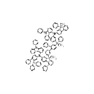 CC1(c2ccccc2)c2ccccc2-c2ccc(N(c3ccc4c(c3)C(C)(c3ccccc3)c3ccc(-c5cccc(C6(C)c7cc(N(c8ccc9c(c8)C(c8ccccc8)(c8ccccc8)c8ccccc8-9)c8cccc9c8c8ccccc8n9-c8ccccc8)ccc7-c7c(-c8ccccc8)cccc76)c5)c(-c5ccccc5)c3-4)c3cccc4c3c3ccccc3n4-c3ccccc3)cc21